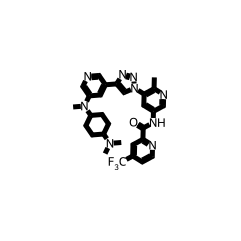 Cc1ncc(NC(=O)c2cc(C(F)(F)F)ccn2)cc1-n1cc(-c2cncc(N(C)C3CCC(N(C)C)CC3)c2)nn1